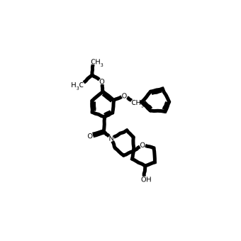 COc1cc(C(=O)N2CCC3(CC2)CC(O)CCO3)ccc1OC(C)C.c1ccccc1